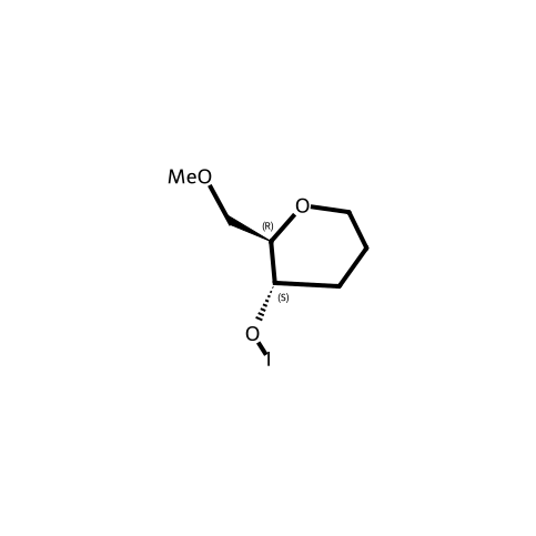 COC[C@H]1OCCC[C@@H]1OI